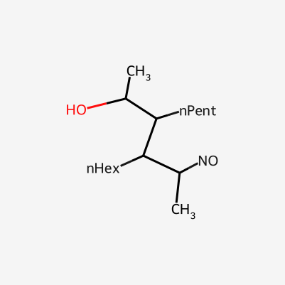 CCCCCCC(C(C)N=O)C(CCCCC)C(C)O